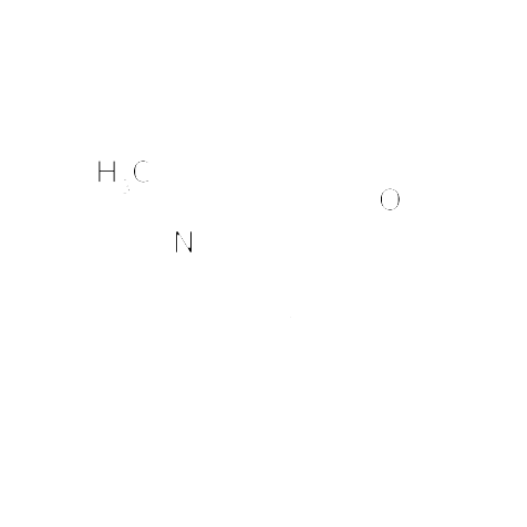 CN1CCC2CCOCC21